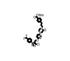 COC(=O)c1ccc(CCCN2CCN(c3ccc(OCc4c(Cl)nnn4-c4ccc(C(F)F)cc4)nn3)CC2=O)cc1